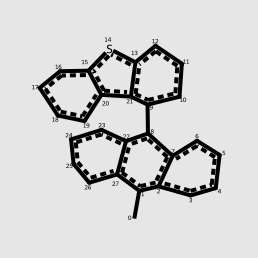 Cc1c2ccccc2c(-c2cccc3sc4ccccc4c23)c2ccccc12